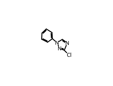 Clc1ncn(-c2ccccc2)n1